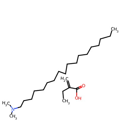 C=C(CC)C(=O)O.CCCCCCCCCCCCCCCCCCN(C)C